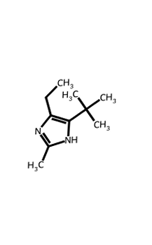 CCc1nc(C)[nH]c1C(C)(C)C